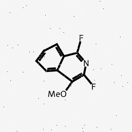 COc1c(F)nc(F)c2ccccc12